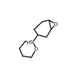 C1CC[SiH](C2CCC3OC3C2)OC1